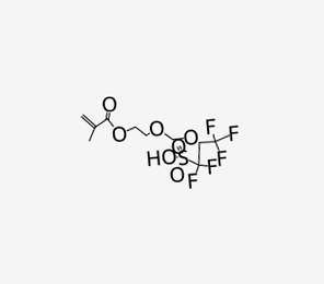 C=C(C)C(=O)OCCOCOC(C(F)(F)F)C(F)(F)S(=O)(=O)O